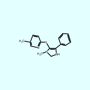 Cc1ccc(SC2=C(c3ccccc3)NCN2C)nc1